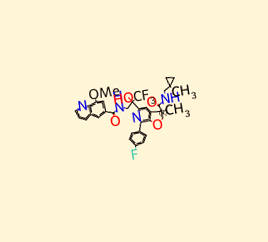 COc1cc(C(=O)NCC(O)(c2cc3c(c(-c4ccc(F)cc4)n2)OC[C@]3(C)C(=O)NCC2(C)CC2)C(F)(F)F)cc2cccnc12